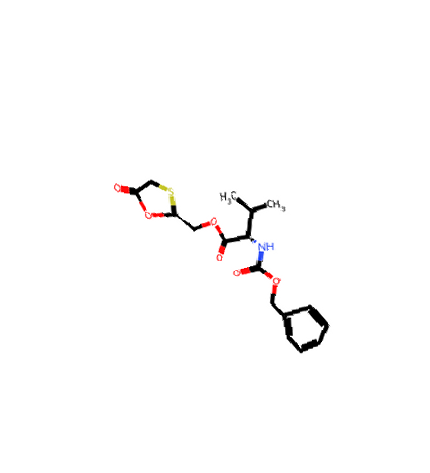 CC(C)[C@H](NC(=O)OCc1ccccc1)C(=O)OC[C@H]1OC(=O)CS1